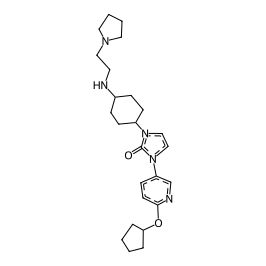 O=c1n(-c2ccc(OC3CCCC3)nc2)ccn1C1CCC(NCCN2CCCC2)CC1